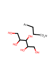 CC(=O)CCC(=O)O.OCC(O)C(O)C(O)CO